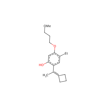 CCc1cc(C(C)=C2CCC2)c(O)cc1OCCCOC